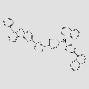 c1ccc(-c2cccc3c2oc2ccc(-c4cccc(-c5ccc(N(c6ccc(-c7cccc8ccccc78)cc6)c6cccc7ccccc67)cc5)c4)cc23)cc1